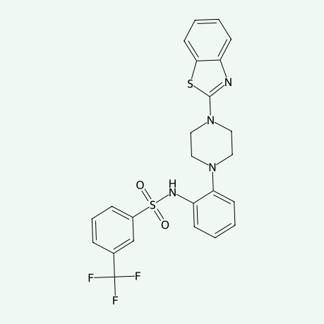 O=S(=O)(Nc1ccccc1N1CCN(c2nc3ccccc3s2)CC1)c1cccc(C(F)(F)F)c1